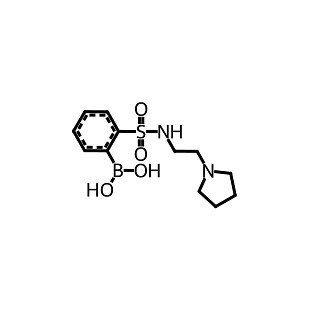 O=S(=O)(NCCN1CCCC1)c1ccccc1B(O)O